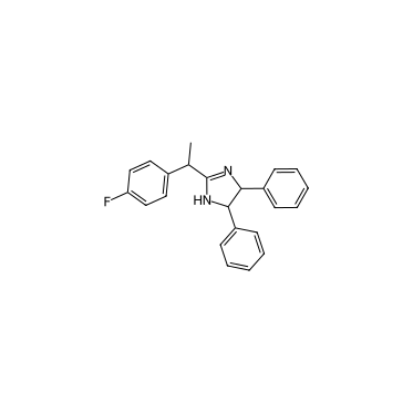 CC(C1=NC(c2ccccc2)C(c2ccccc2)N1)c1ccc(F)cc1